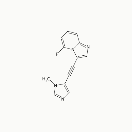 Cn1cncc1C#Cc1cnc2cccc(F)n12